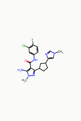 Cn1cnc(C2CCC(c3nn(C)c(N)c3C(=O)Nc3ccc(F)c(Cl)c3)C2)c1